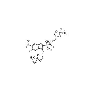 CC1(C)OC[C@@H](COC(=O)C(C)(C)c2cc3cc([N+](=O)[O-])c(F)cc3n2C[C@@H]2COC(C)(C)O2)O1